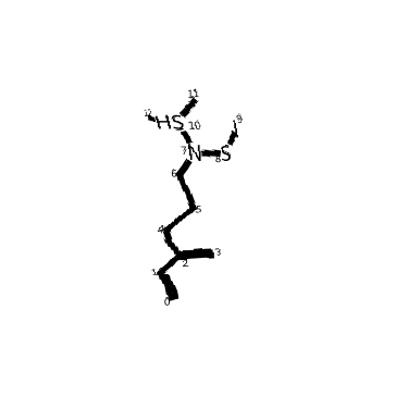 C=CC(=C)CCCN(SI)[SH](C)C